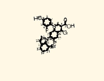 O=C(O)c1cn(-c2ccc(O)cc2F)c2cc(-n3ncc4cccc(Br)c43)c(F)cc2c1=O